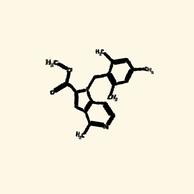 COC(=O)c1cc2c(C)nccc2n1Cc1c(C)cc(C)cc1C